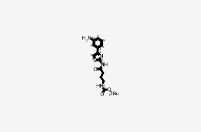 CC(C)(C)OC(=O)NCCCC(=O)Nc1nc(-c2cccc(N)c2)cs1